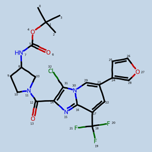 CC(C)(C)OC(=O)NC1CCN(C(=O)c2nc3c(C(F)(F)F)cc(-c4ccoc4)cn3c2Cl)C1